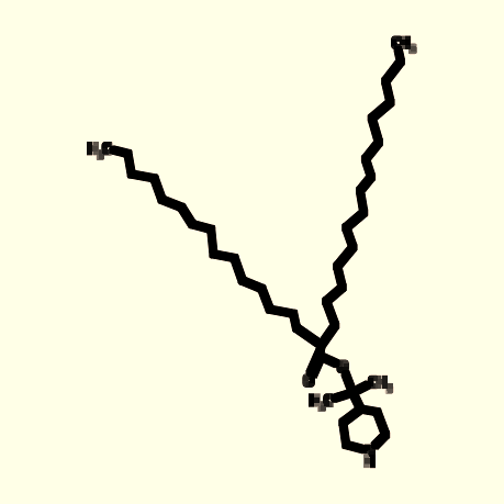 CCCCCCCCCCCCCCCCC(CCCCCCCCCCCCCCC)C(=O)OC(C)(C)C1CCNCC1